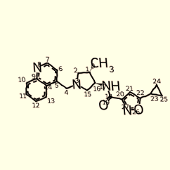 C[C@H]1CN(Cc2ccnc3ccccc23)C[C@@H]1NC(=O)c1cc(C2CC2)on1